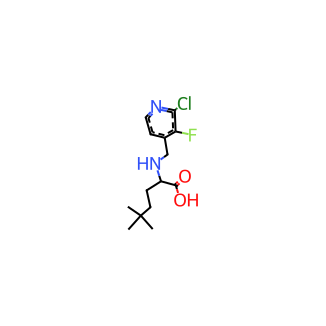 CC(C)(C)CCC(NCc1ccnc(Cl)c1F)C(=O)O